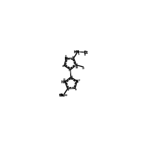 CCNc1ncc(-c2ncc(C(C)(C)C)[nH]2)n1C